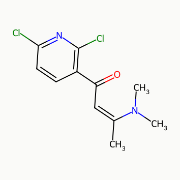 C/C(=C/C(=O)c1ccc(Cl)nc1Cl)N(C)C